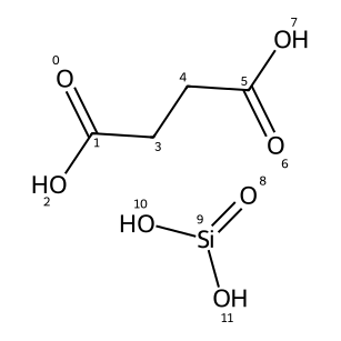 O=C(O)CCC(=O)O.O=[Si](O)O